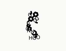 CCOc1cc(CN2CC3(CC(N4CCC(C)(C(=O)O)CC4)=NO3)C2)cc(OCC)c1-c1ccccc1OC